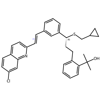 CC(C)(O)c1ccccc1CC[C@@H](SCC1CC1)c1cccc(/C=C/c2ccc3ccc(Cl)cc3n2)c1